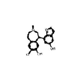 CN1CCc2cc(Cl)c(O)cc2C(c2cc(O)cc3ccoc23)C1